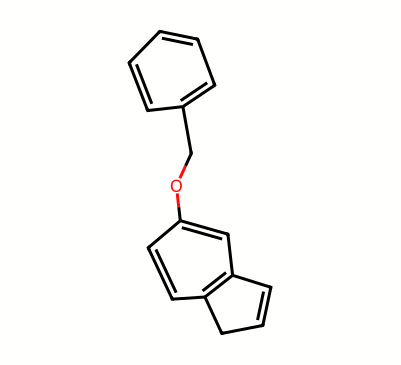 C1=Cc2cc(OCc3ccccc3)ccc2C1